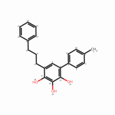 Cc1ccc(-c2cc(CCCc3ccccc3)c(O)c(O)c2O)cc1